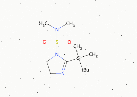 CN(C)S(=O)(=O)N1CCN=C1[Si](C)(C)C(C)(C)C